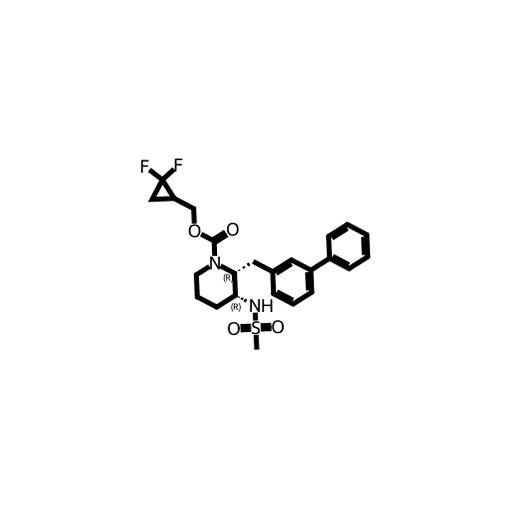 CS(=O)(=O)N[C@@H]1CCCN(C(=O)OCC2CC2(F)F)[C@@H]1Cc1cccc(-c2ccccc2)c1